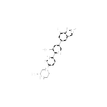 CC(C)[C@H]1CN(c2ccc(-c3ncc(-c4cc(F)c5nn(C)cc5c4)cc3O)nn2)CCN1